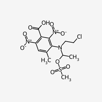 Cc1cc([N+](=O)[O-])c(C(=O)O)c([N+](=O)[O-])c1N(CCCl)C(C)OS(C)(=O)=O